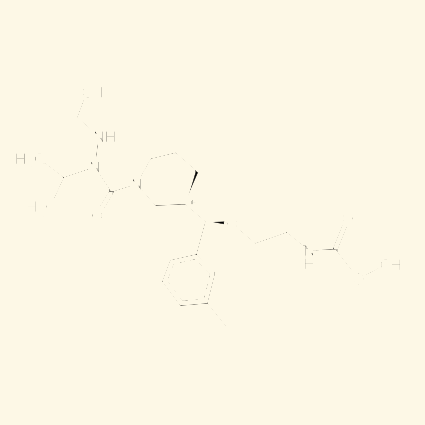 CCNN(C(=O)N1CCC[C@@H]([C@@H](OCCNC(=O)OC)c2cccc(F)c2)C1)C(C)C